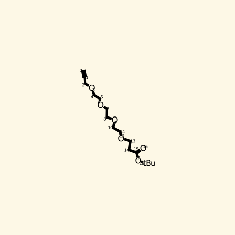 C#CCOCCOCCOCCOCCC(=O)OC(C)(C)C